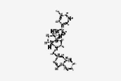 Cc1cncc(C(=O)N[C@H]2CC[C@@H]3[C@H]2CCN3Cc2ccc3nccnc3c2)c1